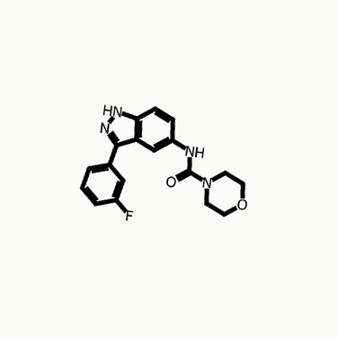 O=C(Nc1ccc2[nH]nc(-c3cccc(F)c3)c2c1)N1CCOCC1